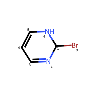 BrC1N=CC=CN1